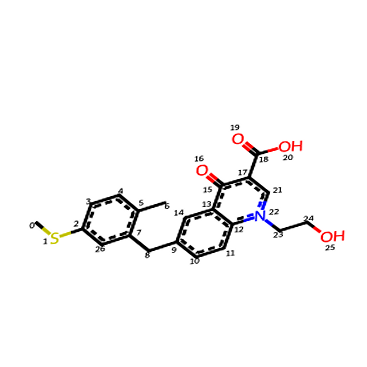 CSc1ccc(C)c(Cc2ccc3c(c2)c(=O)c(C(=O)O)cn3CCO)c1